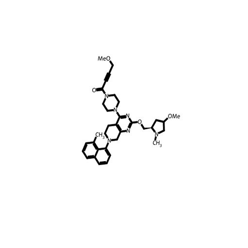 COCC#CC(=O)N1CCN(c2nc(OC[C@H]3CC(OC)CN3C)nc3c2CCN(c2cccc4cccc(C)c24)C3)CC1